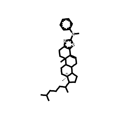 CC(C)CCCC(C)C1CCC2C3CC=C4c5sc(N(C)c6ccccc6)nc5CCC4(C)C3CC[C@]12C